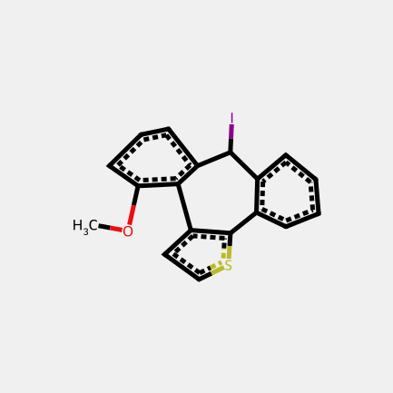 COc1cccc2c1-c1ccsc1-c1ccccc1C2I